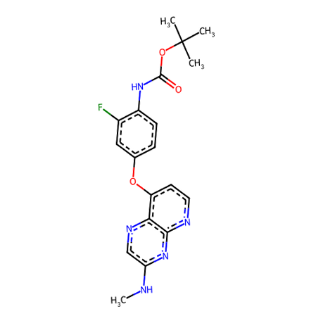 CNc1cnc2c(Oc3ccc(NC(=O)OC(C)(C)C)c(F)c3)ccnc2n1